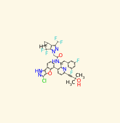 CC(C)(O)C#Cc1ccc(-c2cccc3c2oc2c(Cl)n[nH]c23)c([C@H](Cc2cc(F)cc(F)c2)NC(=O)Cn2nc(C(F)F)c3c2C(F)(F)[C@@H]2CC32)n1